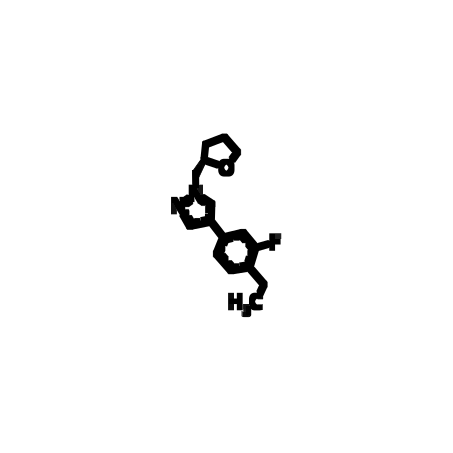 CCc1ccc(-c2cnn(C[C@H]3CCCO3)c2)cc1F